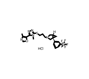 Cc1ncoc1-c1nnc(SCCCN2C[C@@H]3C[C@]3(c3cccc(S(F)(F)(F)(F)F)c3)C2)n1C.Cl